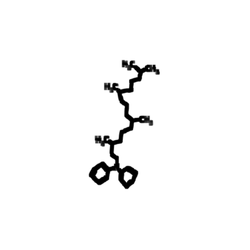 CC(C)CCCC(C)CCCC(C)CCCC(C)CCN(c1ccccc1)c1ccccc1